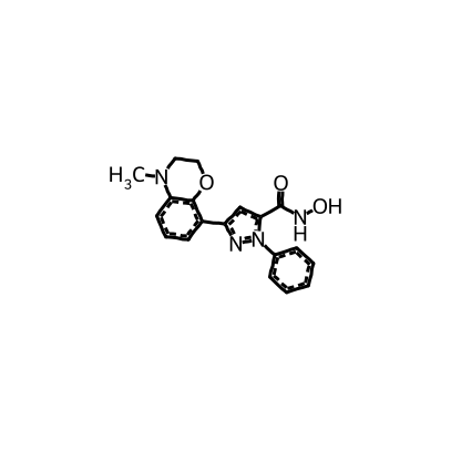 CN1CCOc2c(-c3cc(C(=O)NO)n(-c4ccccc4)n3)cccc21